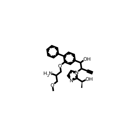 C#CC(C(O)c1ccc(-c2ccccc2)c(OCC(N)COC)c1)n1ccnc1[C@H](C)O